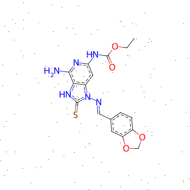 CCOC(=O)Nc1cc2c([nH]c(=S)n2/N=C/c2ccc3c(c2)OCO3)c(N)n1